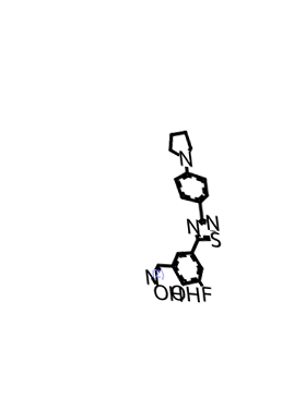 O/N=C\c1cc(-c2nc(-c3ccc(N4CCCC4)cc3)ns2)cc(F)c1O